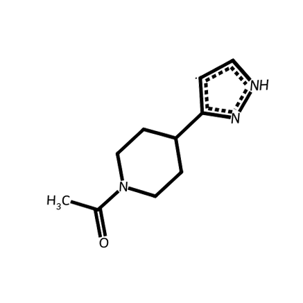 CC(=O)N1CCC(c2[c]c[nH]n2)CC1